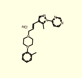 Cc1ccccc1N1CCN(CC=Cc2cnn(-c3ccncn3)c2C)CC1.Cl